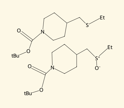 CCSCC1CCN(C(=O)OC(C)(C)C)CC1.CC[S+]([O-])CC1CCN(C(=O)OC(C)(C)C)CC1